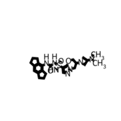 CN(C)C1CN(C2COc3c(S(=N)(=O)NC(=O)Nc4c5c(cc6c4CCC6)CCC5)cnn3C2)C1